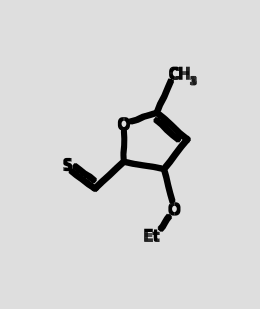 CCOC1C=C(C)OC1C=S